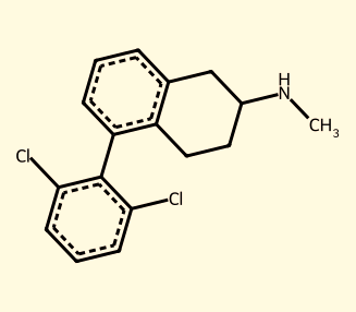 CNC1CCc2c(cccc2-c2c(Cl)cccc2Cl)C1